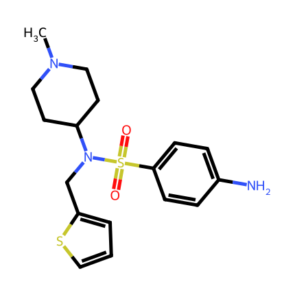 CN1CCC(N(Cc2cccs2)S(=O)(=O)c2ccc(N)cc2)CC1